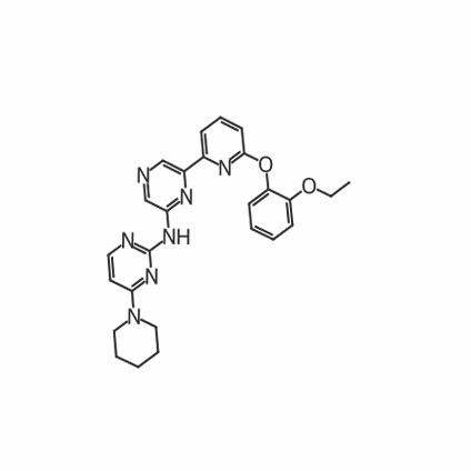 CCOc1ccccc1Oc1cccc(-c2cncc(Nc3nccc(N4CCCCC4)n3)n2)n1